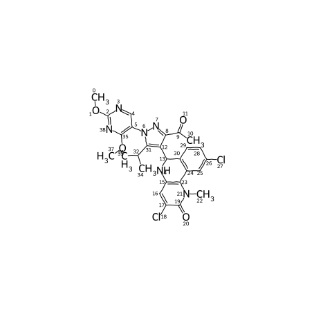 COc1ncc(-n2nc(C(C)=O)c(C3Nc4cc(Cl)c(=O)n(C)c4-c4cc(Cl)ccc43)c2C(C)C)c(OC)n1